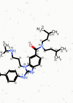 CC(=O)c1ccc(Nc2nc3ccc(C(=O)N(CCC(C)C)CCC(C)C)cc3n2CCCNC(C)C)cc1